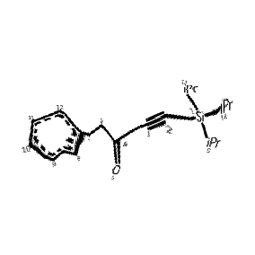 CC(C)[Si](C#CC(=O)Cc1ccccc1)(C(C)C)C(C)C